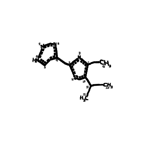 Cc1nc(-c2c[nH]nn2)sc1C(C)C